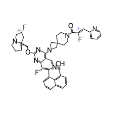 C#Cc1cccc2cccc(-c3ncc4c(N5CC6(CCN(C(=O)/C(F)=C/c7ccccn7)CC6)C5)nc(OC[C@@]56CCCN5C[C@H](F)C6)nc4c3F)c12